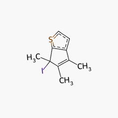 CC1=C(C)C(C)(I)c2sccc21